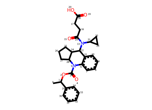 CC(OC(=O)N1c2ccccc2C(N(C(=O)CCC(=O)O)C2CC2)C2CCCC21)c1ccccc1